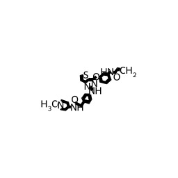 C=CC(=O)Nc1cccc(Oc2nc(Nc3ccc(CC(=O)NC4CCN(C)CC4)cc3)nc3ccsc23)c1